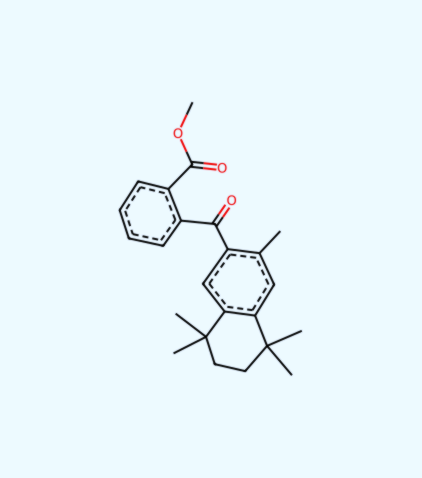 COC(=O)c1ccccc1C(=O)c1cc2c(cc1C)C(C)(C)CCC2(C)C